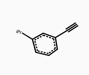 C#Cc1cccc(C(C)C)c1